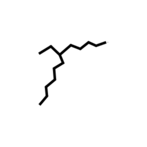 [CH2]CCCCC(CC)CCCCCC